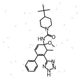 COC1(NC(=O)N2CCC(C(C)(C)C)CC2)C=CC(c2ccccc2)=C(c2nn[nH]n2)C1C